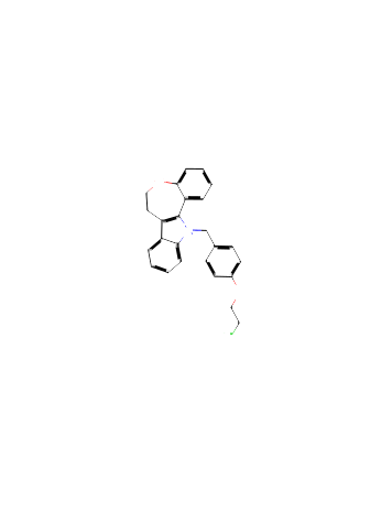 ClCCOc1ccc(Cn2c3c(c4ccccc42)CCOc2ccccc2-3)cc1